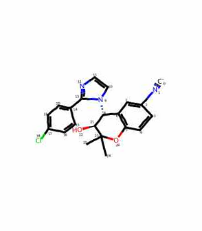 [C-]#[N+]c1ccc2c(c1)[C@@H](n1ccnc1-c1ccc(Cl)cc1)[C@H](O)C(C)(C)O2